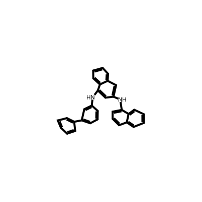 c1ccc(-c2cccc(Nc3cc(Nc4cccc5ccccc45)cc4ccccc34)c2)cc1